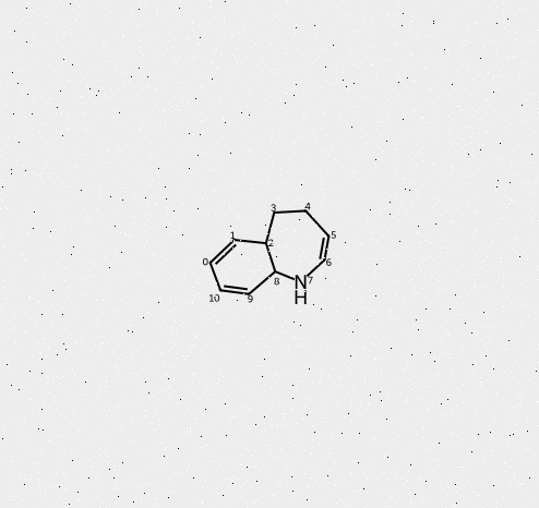 C1=CC2CCC=CNC2C=C1